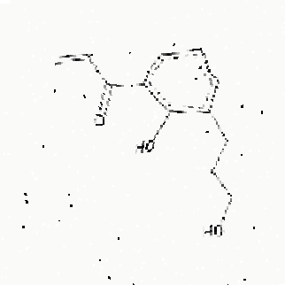 C=CC(=O)c1cccc(CCCO)c1O